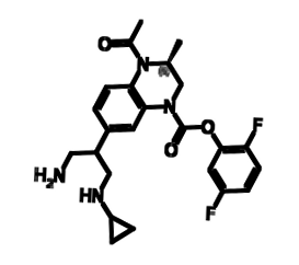 CC(=O)N1c2ccc(C(CN)CNC3CC3)cc2N(C(=O)Oc2cc(F)ccc2F)C[C@@H]1C